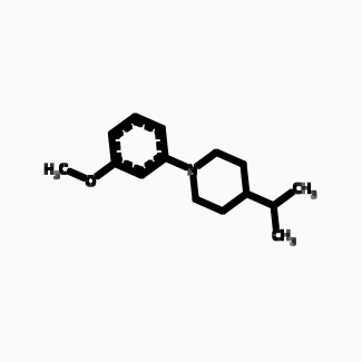 COc1cccc(N2CCC(C(C)C)CC2)c1